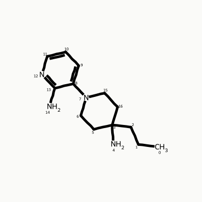 CCCC1(N)CCN(c2cccnc2N)CC1